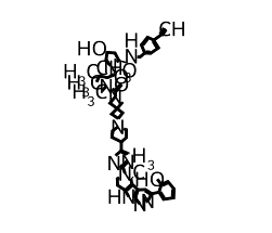 C#Cc1ccc(CNC(=O)[C@@H]2C[C@@H](O)CN2C(=O)[C@@H](N(C)C(=O)N2CC3(CC(N4CCC(c5cnc(N6CCc7[nH]c8nnc(-c9ccccc9O)cc8c7[C@H]6C)nc5)CC4)C3)C2)C(C)(C)C)cc1